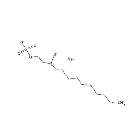 CCCCCCCCCC[S+]([O-])CCOS(=O)(=O)[O-].[Na+]